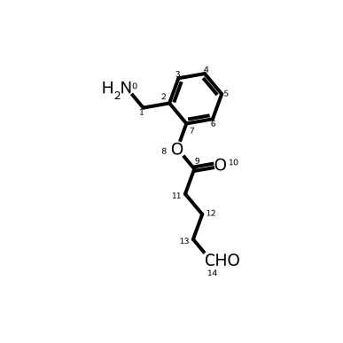 NCc1ccccc1OC(=O)CCCC=O